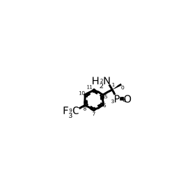 C[C@@](N)(P=O)c1ccc(C(F)(F)F)cc1